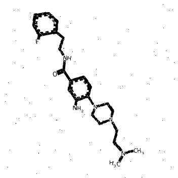 CN(C)CCN1CCN(c2ccc(C(=O)NCCc3ccccc3F)cc2N)CC1